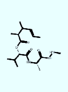 C/C=C/C(C)C(C)C(=O)O[C@H](C(=O)N[C@@H](C)C(=O)NNC)C(C)C